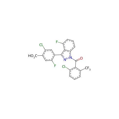 O=C(O)c1cc(F)c(-c2nn(C(=O)c3c(Cl)cccc3C(F)(F)F)c3cccc(F)c23)cc1Cl